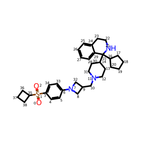 O=S(=O)(c1ccc(N2CC(CN3CCC(C4(C5CCCC5)NCCc5ccccc54)CC3)C2)cc1)C1CCC1